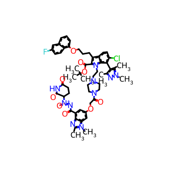 Cc1nn(C)c(C)c1-c1c(Cl)ccc2c(CCCOc3cccc4cc(F)ccc34)c(C(=O)OC(C)(C)C)n(CCN3CCN(C(=O)COc4cc(C(=O)N=[N+]([O-])C5CCC(=O)NC5=O)c5nc(C)n(C)c5c4)CC3)c12